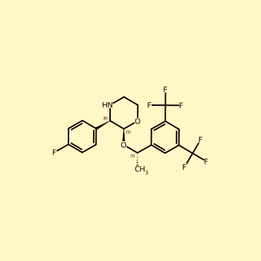 C[C@H](O[C@@H]1OCCN[C@@H]1c1ccc(F)cc1)c1cc(C(F)(F)F)cc(C(F)(F)F)c1